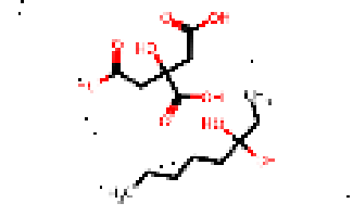 CCCCCC(O)(O)CC.O=C(O)CC(O)(CC(=O)O)C(=O)O